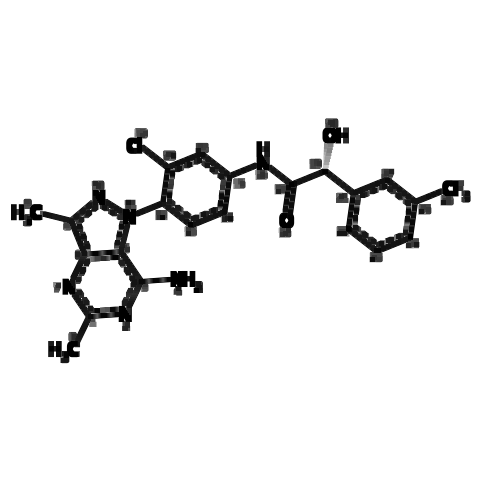 Cc1nc(N)c2c(n1)c(C)nn2-c1ccc(NC(=O)[C@H](O)c2cccc(C(F)(F)F)c2)cc1Cl